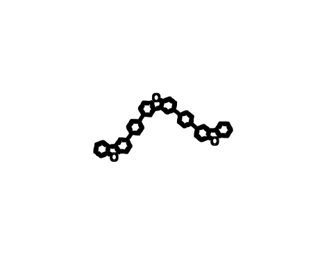 c1ccc2c(c1)oc1ccc(-c3ccc(-c4ccc5oc6ccc(-c7ccc(-c8ccc9oc%10ccccc%10c9c8)cc7)cc6c5c4)cc3)cc12